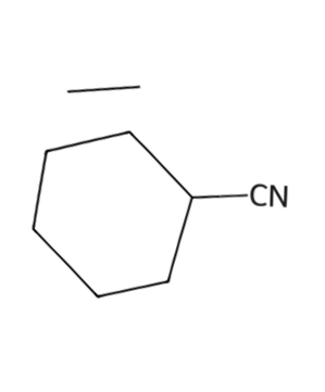 CC.N#CC1CCCCC1